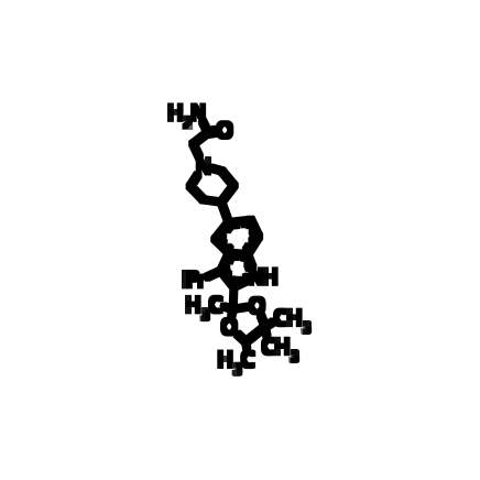 CC(C)c1c(C2(C)OC(C)C(C)(C)O2)[nH]c2ccc(C3CCN(CC(N)=O)CC3)cc12